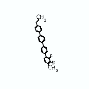 CCCc1ccc(-c2ccc(-c3ccc(-c4ccc(C)c(F)c4F)cc3)cc2)cc1